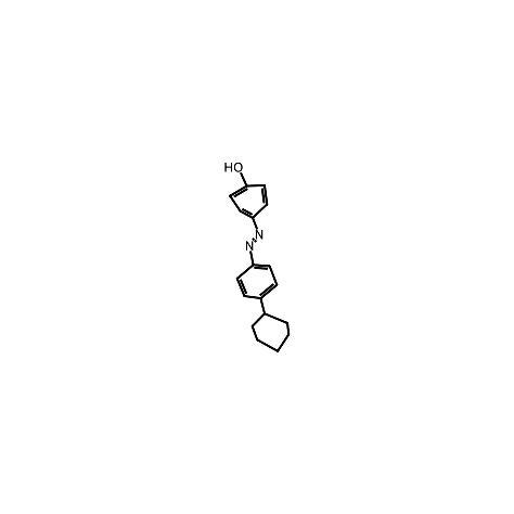 Oc1ccc(/N=N/c2ccc(C3CCCCC3)cc2)cc1